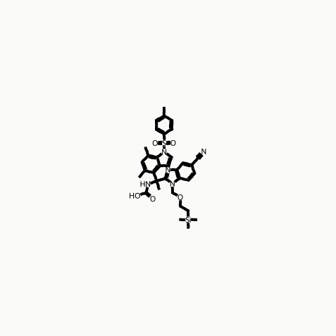 Cc1ccc(S(=O)(=O)n2ccc3c(C(C)(NC(=O)O)c4nc5cc(C#N)ccc5n4COCC[Si](C)(C)C)c(C)cc(C)c32)cc1